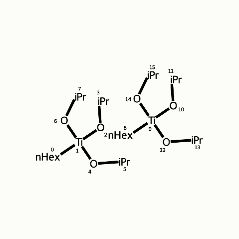 CCCCC[CH2][Ti]([O]C(C)C)([O]C(C)C)[O]C(C)C.CCCCC[CH2][Ti]([O]C(C)C)([O]C(C)C)[O]C(C)C